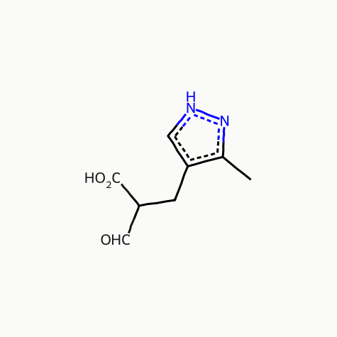 Cc1n[nH]cc1CC(C=O)C(=O)O